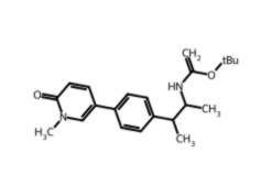 C=C(NC(C)C(C)c1ccc(-c2ccc(=O)n(C)c2)cc1)OC(C)(C)C